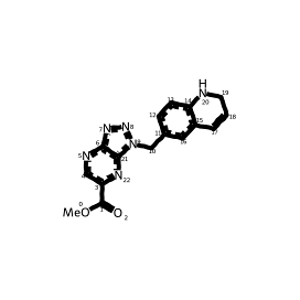 COC(=O)c1cnc2nnn(Cc3ccc4c(c3)C=CCN4)c2n1